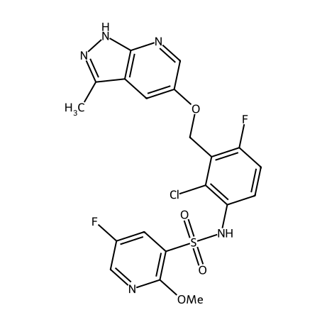 COc1ncc(F)cc1S(=O)(=O)Nc1ccc(F)c(COc2cnc3[nH]nc(C)c3c2)c1Cl